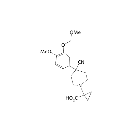 COCOc1cc(C2(C#N)CCN(C3(C(=O)O)CC3)CC2)ccc1OC